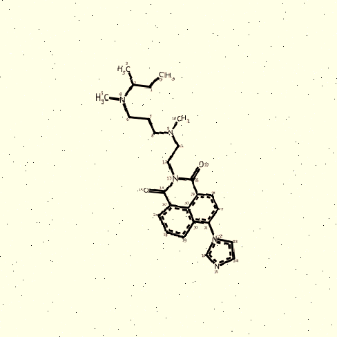 CCC(C)N(C)CCCN(C)CCN1C(=O)c2cccc3c(-n4ccnc4)ccc(c23)C1=O